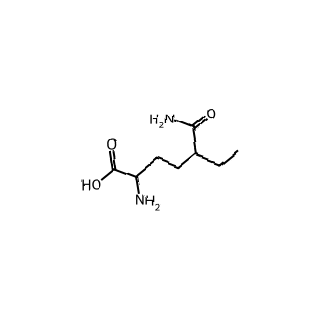 CCC(CCC(N)C(=O)O)C(N)=O